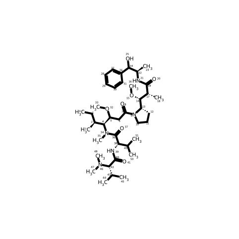 CC[C@H](C)[C@@H](C(CC(=O)N1CCC[C@H]1[C@H](OC)[C@@H](C)C(=O)N[C@H](C)C(O)c1ccccc1)OC)N(C)C(=O)[C@@H](NC(=O)[C@H](C(C)C)N(C)C)C(C)C